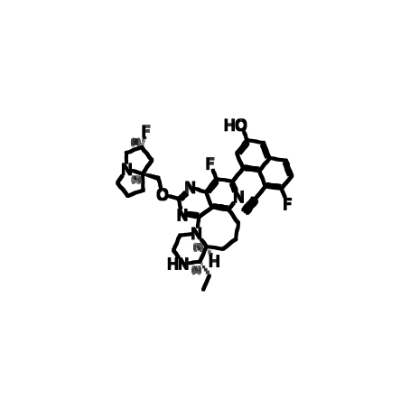 C#Cc1c(F)ccc2cc(O)cc(-c3nc4c5c(nc(OC[C@@]67CCCN6C[C@H](F)C7)nc5c3F)N3CCN[C@@H](CC)[C@@H]3CCC4)c12